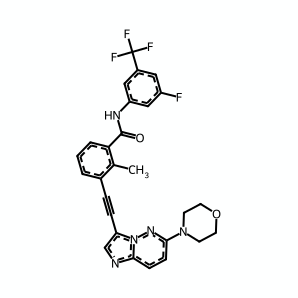 Cc1c(C#Cc2cnc3ccc(N4CCOCC4)nn23)cccc1C(=O)Nc1cc(F)cc(C(F)(F)F)c1